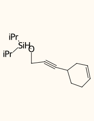 CC(C)[SiH](OCC#CC1CC=CCC1)C(C)C